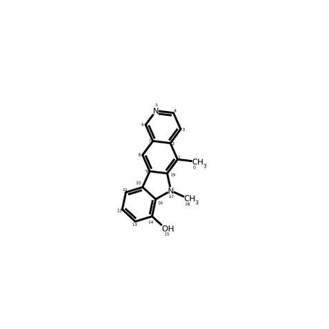 Cc1c2ccncc2cc2c3cccc(O)c3n(C)c12